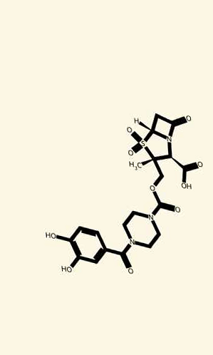 C[C@]1(COC(=O)N2CCN(C(=O)c3ccc(O)c(O)c3)CC2)[C@H](C(=O)O)N2C(=O)C[C@H]2S1(=O)=O